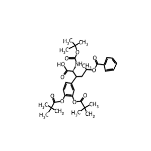 CC(CC(c1ccc(OC(=O)C(C)(C)C)c(OC(=O)C(C)(C)C)c1)[C@H](NC(=O)OC(C)(C)C)C(=O)O)OC(=O)c1ccccc1